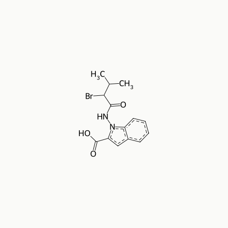 CC(C)C(Br)C(=O)Nn1c(C(=O)O)cc2ccccc21